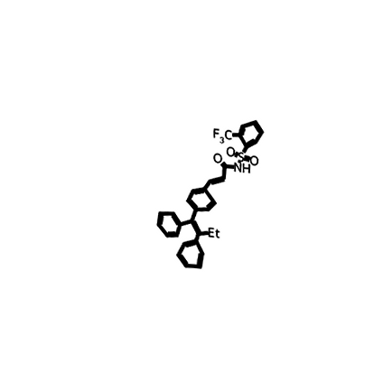 CCC(=C(c1ccccc1)c1ccc(C=CC(=O)NS(=O)(=O)c2ccccc2C(F)(F)F)cc1)c1ccccc1